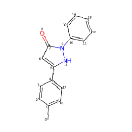 Cc1ccc(-c2cc(=O)n(-c3ccccc3)[nH]2)cc1